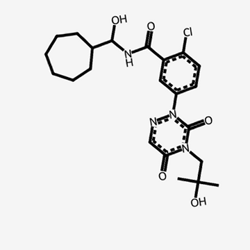 CC(C)(O)Cn1c(=O)cnn(-c2ccc(Cl)c(C(=O)NC(O)C3CCCCCC3)c2)c1=O